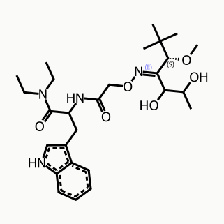 CCN(CC)C(=O)C(Cc1c[nH]c2ccccc12)NC(=O)CO/N=C(\C(O)C(C)O)[C@@H](OC)C(C)(C)C